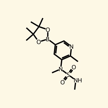 CNS(=O)(=O)N(C)c1cc(B2OC(C)(C)C(C)(C)O2)cnc1C